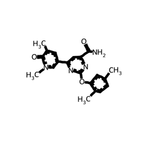 Cc1ccc(C)c(Oc2nc(C(N)=O)cc(-c3cc(C)c(=O)n(C)c3)n2)c1